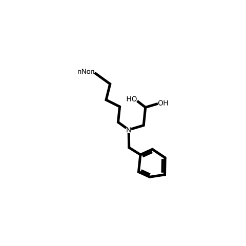 CCCCCCCCCCCCCN(Cc1ccccc1)CC(O)O